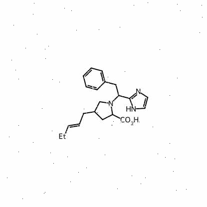 CCC=CCC1CC(C(=O)O)N(C(Cc2ccccc2)c2ncc[nH]2)C1